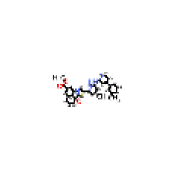 COC(=O)c1ccc2c(c1)CCCC2(O)c1ncc(-c2cc(C)cc(Nc3cc(C4=CC(C)CCC4)ccn3)n2)s1